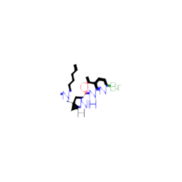 C=CCCCCN(C)C[C@@]12C[C@@H](C(=O)Nc3nc(Br)ccc3C=C)N[C@@H]1C2